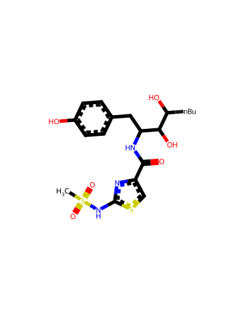 CCCCC(O)C(O)C(Cc1ccc(O)cc1)NC(=O)c1csc(NS(C)(=O)=O)n1